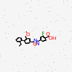 CCc1ccccc1-c1ccc(-c2nc(-c3ccc(C(=O)O)c(F)c3)no2)cc1COC